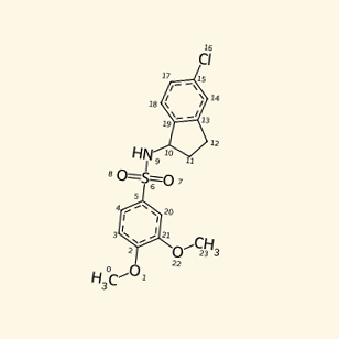 COc1ccc(S(=O)(=O)NC2CCc3cc(Cl)ccc32)cc1OC